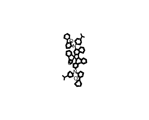 CC(C)c1ccc(N(c2cccc3c2OC2C=CC=CC32)c2cc3c(c4ccccc24)-c2c(c4ccc(N(c5ccc(C(C)C)cc5)c5cccc6c5oc5ccccc56)cc4c4ccccc24)C32c3ccccc3-c3ccccc32)cc1